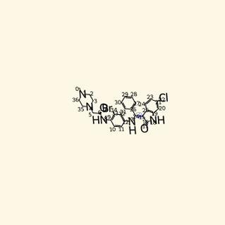 CN1CCN(CC(=O)Nc2ccc(N/C(=C3\C(=O)Nc4cc(Cl)ccc43)c3ccccc3)cc2Br)CC1